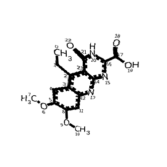 CCc1c2cc(OC)c(OC)cc2nc2nc(C(=O)O)[nH]c(=O)c12